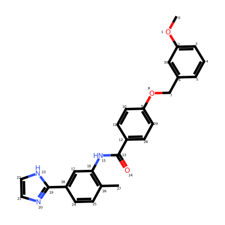 COc1cccc(COc2ccc(C(=O)Nc3cc(-c4ncc[nH]4)ccc3C)cc2)c1